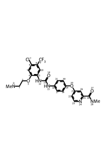 CNCCOc1cc(Cl)c(C(F)(F)F)cc1NC(=O)Nc1ccc(Oc2ccnc(C(=O)NC)c2)cc1